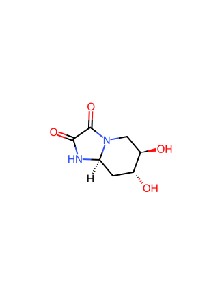 O=C1N[C@@H]2C[C@@H](O)[C@H](O)CN2C1=O